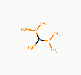 PB(P(P)P)P(P)P